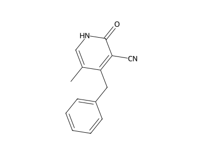 Cc1c[nH]c(=O)c(C#N)c1Cc1ccccc1